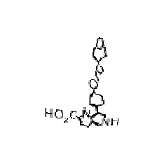 CN1C(C(=O)O)=CCC2=CNCC(c3ccc(OCCOC4CCOCC4)cc3)=C21